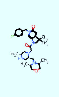 C[C@@H]1CN(CC(=O)N2CC(C)(C)c3cc(=O)n(Cc4ccc(F)cc4)cc32)[C@@H](CN2[C@H](C)COC[C@H]2C)CN1